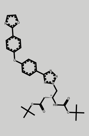 CC(C)(C)OC(=O)C[C@H](Cn1nnc(-c2ccc(Oc3ccc(-c4ncco4)cc3)cc2)n1)NC(=O)OC(C)(C)C